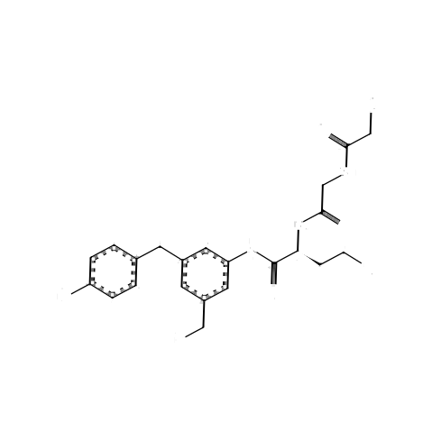 Cc1ccc(Cc2cc(CO)cc(NC(=O)[C@H](CCC(=O)O)NC(=O)CNC(=O)CBr)c2)cc1